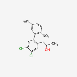 CC[C]c1ccc([N+](=O)[O-])c(-c2cc(Cl)c(Cl)cc2CC(C)O)c1